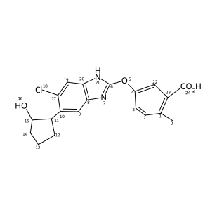 Cc1ccc(Oc2nc3cc(C4CCCC4O)c(Cl)cc3[nH]2)cc1C(=O)O